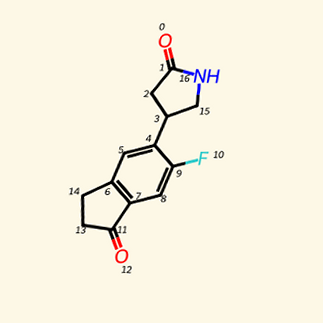 O=C1CC(c2cc3c(cc2F)C(=O)CC3)CN1